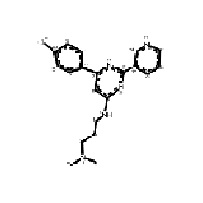 CN(C)CCCNc1cc(-c2ccc(Cl)cc2)nc(-c2cccnc2)n1